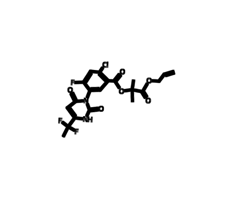 C=CCOC(=O)C(C)(C)OC(=O)c1cc(-n2c(=O)cc(C(C)(F)F)[nH]c2=O)c(F)cc1Cl